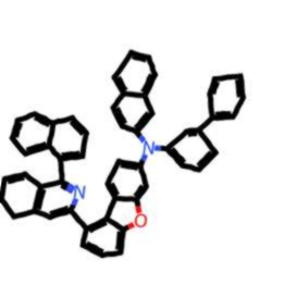 C1=Cc2c(cc(-c3cccc4oc5cc(N(c6cccc(-c7ccccc7)c6)c6ccc7ccccc7c6)ccc5c34)nc2-c2cccc3ccccc23)CC1